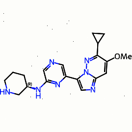 COc1cc2ncc(-c3cncc(N[C@@H]4CCCNC4)n3)n2nc1C1CC1